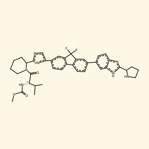 COC(=O)N[C@H](C(=O)N1CCCCC1c1ncc(-c2ccc3c(c2)C(F)(F)c2cc(-c4ccc5nc(C6CCCN6)[nH]c5c4)ccc2-3)[nH]1)C(C)C